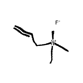 C=CC[N+](C)(C)C.[F-]